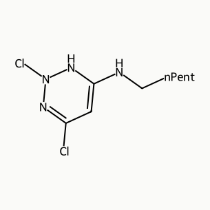 CCCCCCNC1=CC(Cl)=NN(Cl)N1